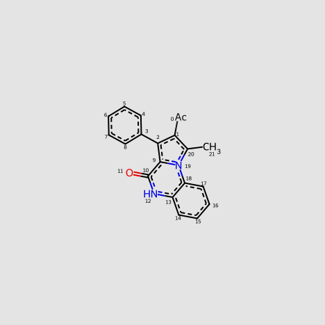 CC(=O)c1c(-c2ccccc2)c2c(=O)[nH]c3ccccc3n2c1C